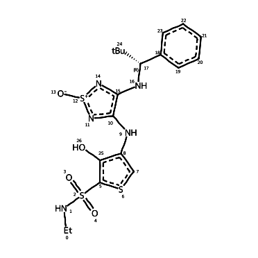 CCNS(=O)(=O)c1scc(Nc2n[s+]([O-])nc2N[C@@H](c2ccccc2)C(C)(C)C)c1O